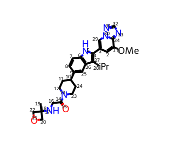 COc1cc(-c2[nH]c3ccc(C4CCN(C(=O)CNC5(C)COC5)CC4)cc3c2C(C)C)cn2ncnc12